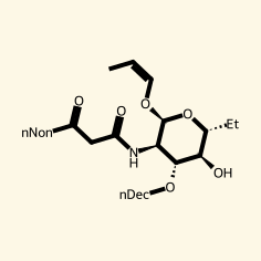 C/C=C\O[C@H]1O[C@H](CC)[C@@H](O)[C@H](OCCCCCCCCCC)[C@H]1NC(=O)CC(=O)CCCCCCCCC